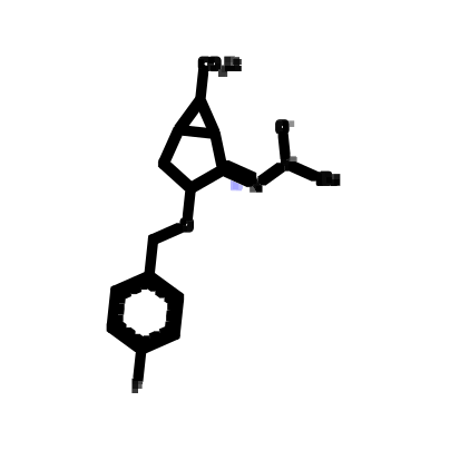 CCOC(=O)C1C2CC(OCc3ccc(F)cc3)/C(=N/[S+]([O-])C(C)(C)C)C21